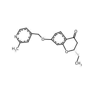 CC[C@H]1CC(=O)c2ccc(OCc3ccnc(C)c3)cc2O1